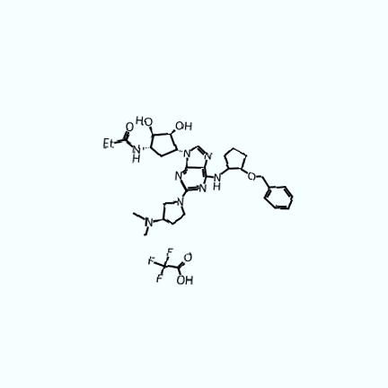 CCC(=O)N[C@H]1C[C@@H](n2cnc3c(NC4CCCC4OCc4ccccc4)nc(N4CC[C@@H](N(C)C)C4)nc32)[C@H](O)[C@@H]1O.O=C(O)C(F)(F)F